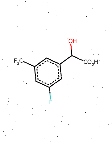 O=C(O)C(O)c1cc(F)cc(C(F)(F)F)c1